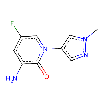 Cn1cc(-n2cc(F)cc(N)c2=O)cn1